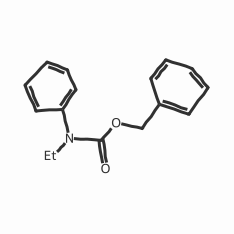 CCN(C(=O)OCc1ccccc1)c1ccccc1